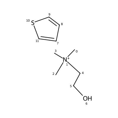 C[N+](C)(C)CCO.c1ccsc1